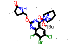 CC(C)(C)OC(=O)N1C2CCC1CN(c1nc(OCC3CCC(=O)N3)nc3c(F)c(Br)c(Cl)cc13)C2